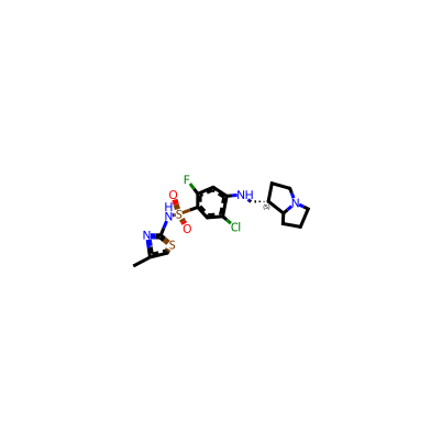 Cc1csc(NS(=O)(=O)c2cc(Cl)c(NC[C@@H]3CCN4CCCC34)cc2F)n1